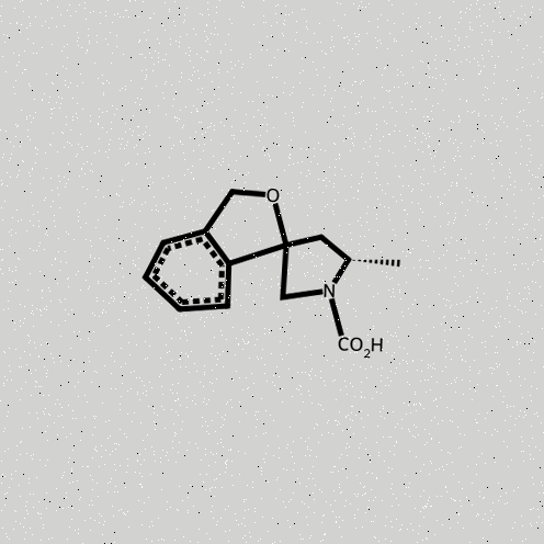 C[C@H]1CC2(CN1C(=O)O)OCc1ccccc12